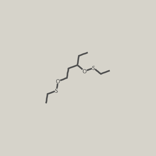 CCSOCCC(CC)OSCC